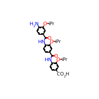 CC(C)Oc1cc(C(=O)Nc2ccc(C(=O)Nc3ccc(C(=O)O)cc3OC(C)C)cc2OC(C)C)ccc1N